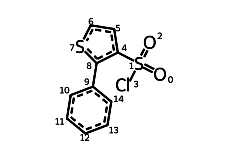 O=S(=O)(Cl)c1ccsc1-c1ccccc1